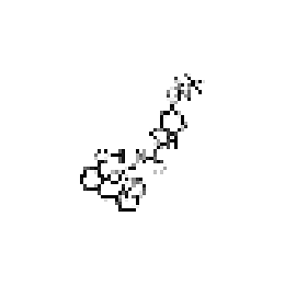 CC(C)(C)[Si](C)(C)Oc1ccc2nc(C(=O)NCCOc3c(O)cccc3C=C3C4CC5CC(C4)CC3C5)sc2c1